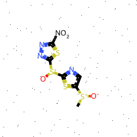 C[S+]([O-])c1cnc([S+]([O-])c2nnc([N+](=O)[O-])s2)s1